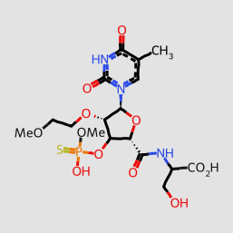 COCCO[C@H]1C(OP(O)(=S)OC)[C@@H](C(=O)NC(CO)C(=O)O)O[C@@H]1n1cc(C)c(=O)[nH]c1=O